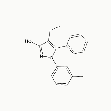 CCc1c(O)nn(-c2cccc(C)c2)c1-c1ccccc1